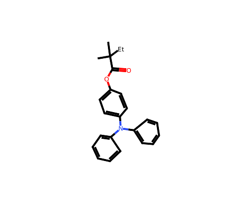 CCC(C)(C)C(=O)Oc1ccc(N(c2ccccc2)c2ccccc2)cc1